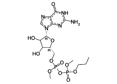 CCCOP(=O)(OC)OP(=O)(OC)OC[C@H]1O[C@@H](n2cnc3c(=O)[nH]c(N)nc32)C(O)C1O